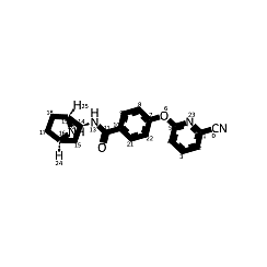 N#Cc1cccc(Oc2ccc(C(=O)N[C@@H]3C[C@H]4CC[C@@H]3N4)cc2)n1